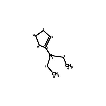 CCN(CC)C1=[C]CCC1